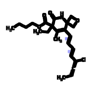 CC=C=C(Cl)/C=C/C=C/C1=C(C)C(CC)(C(=O)OCCCC)C(=O)NC12COC2